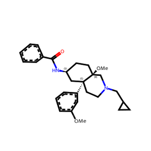 COc1cccc([C@@]23CCN(CC4CC4)C[C@@]2(OC)CC[C@H](NC(=O)c2ccccc2)C3)c1